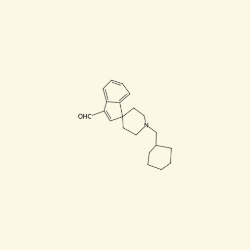 O=CC1=CC2(CCN(CC3CCCCC3)CC2)c2ccccc21